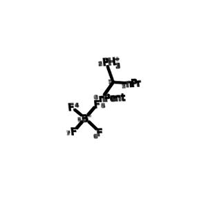 CCCCCC([PH3+])CCC.F[B-](F)(F)F